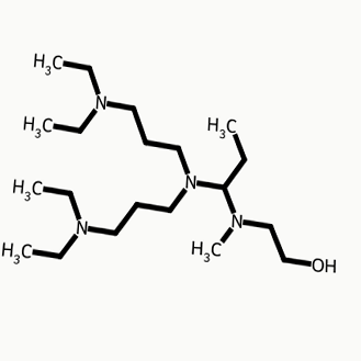 CCC(N(C)CCO)N(CCCN(CC)CC)CCCN(CC)CC